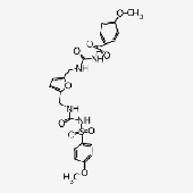 COc1ccc(S(=O)(=O)NC(=O)NCc2ccc(CNC(=O)NS(=O)(=O)c3ccc(OC)cc3)o2)cc1